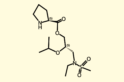 CCN(C[C@@H](COC(=O)[C@@H]1CCCN1)OC(C)C)S(C)(=O)=O